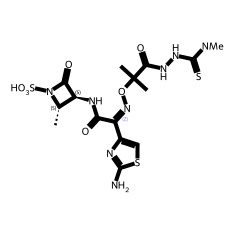 CNC(=S)NNC(=O)C(C)(C)O/N=C(\C(=O)N[C@@H]1C(=O)N(S(=O)(=O)O)[C@H]1C)c1csc(N)n1